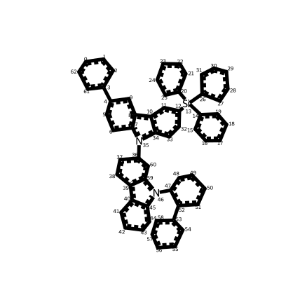 c1ccc(-c2ccc3c(c2)c2cc([Si](c4ccccc4)(c4ccccc4)c4ccccc4)ccc2n3-c2ccc3c4ccccc4n(-c4ccccc4-c4ccccc4)c3c2)cc1